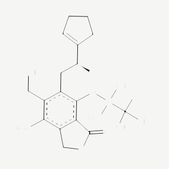 CCc1c(C)c2c(c(O[Si](C)(C)C(C)(C)C)c1C[C@H](O)C1=CCCC1)C(=O)OC2